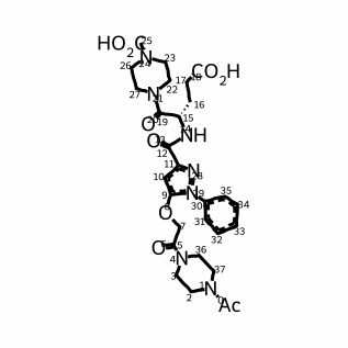 CC(=O)N1CCN(C(=O)COc2cc(C(=O)N[C@@H](CCC(=O)O)C(=O)N3CCN(C(=O)O)CC3)nn2-c2ccccc2)CC1